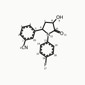 N#Cc1cccc(C2CC(O)C(=O)N2c2ccc(F)cc2)c1